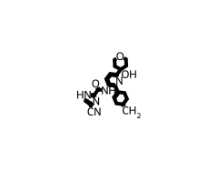 C=C1CC=C(c2nc(C3(O)CCOCC3)ccc2NC(=O)c2nc(C#N)c[nH]2)CC1